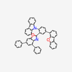 c1ccc(-c2cc(-c3ccccc3)c3nc(-c4cc(-c5cccc6c5oc5ccccc56)ccc4-n4c5ccccc5c5ccccc54)oc3c2)cc1